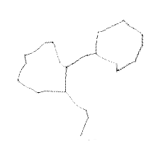 O=S(=O)(O)CC1CCCCC1C1CCCCC1